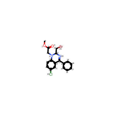 COC(=O)CN1c2ccc(Cl)cc2C(c2ccccc2)=NC1CBr